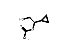 NC(=O)O[C@@H](CO)C1CC1